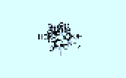 N[C@@H]1[C@H](O)[C@@H](CO)O[C@H]1n1cc(OP(=O)(O)OP(=O)(O)OP(=O)(O)O)c(=O)[nH]c1=O